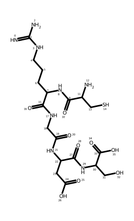 N=C(N)NCCCC(NC(=O)C(N)CS)C(=O)NCC(=O)NC(CC(=O)O)C(=O)NC(CO)C(=O)O